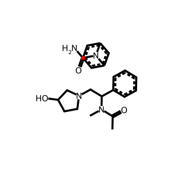 CC(=O)N(C)C(CN1CCC(O)C1)c1ccccc1.NC(=O)N1c2cccc1c2